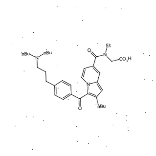 CCCCc1cc2cc(C(=O)N(CC)CC(=O)O)ccn2c1C(=O)c1ccc(CCCN(CCCC)CCCC)cc1